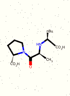 CCCC[C@H](N[C@@H](C)C(=O)N1CCC[C@H]1C(=O)O)C(=O)O